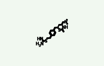 CC(=N)S[C@H](CCCN(C)C)Cc1ccc(CCSC(=N)N)cc1